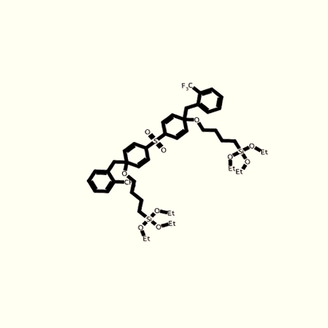 CCO[Si](CCCCOC1(Cc2ccccc2C(F)(F)F)C=CC(S(=O)(=O)C2C=CC(Cc3ccccc3C(F)(F)F)(OCCCC[Si](OCC)(OCC)OCC)C=C2)C=C1)(OCC)OCC